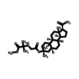 COC(=O)C(C)(C)NCC(=O)O[C@]1(C)CC[C@@]2(C)[C@@H](CC[C@@H]3[C@@H]2CC[C@]2(C)[C@@H](C(C)=O)CC[C@@H]32)C1